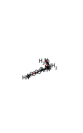 Nc1nc2cc(-c3nn(CCCCNC(=O)CCOCCOCCOCCOCCN4CCNCC4)c4ncnc(N)c34)ccc2o1